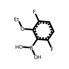 CCOc1c(F)ccc(F)c1B(O)O